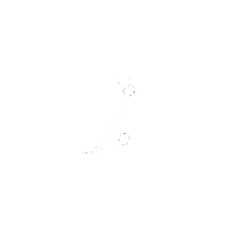 CCCCC[Si@H]1CC[C@@](c2ccccc2)(C2CCC(CCCCc3cc(F)c(F)c(F)c3)CC2)CC1